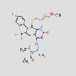 C=CC(=O)N1[C@H](C)CN(c2nc(=O)n3c4c(c(-c5ccc(F)cc5)c(C(F)(F)F)cc24)SCC(OCOC)C3)C[C@@H]1C